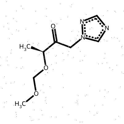 COCO[C@@H](C)C(=O)Cn1cncn1